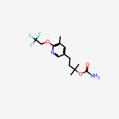 Cc1cc(CCC(C)(C)OC(N)=O)cnc1OCC(F)(F)F